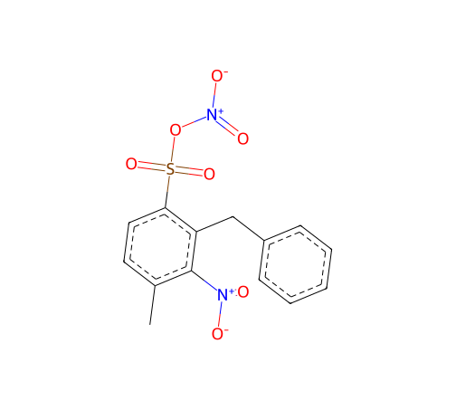 Cc1ccc(S(=O)(=O)O[N+](=O)[O-])c(Cc2ccccc2)c1[N+](=O)[O-]